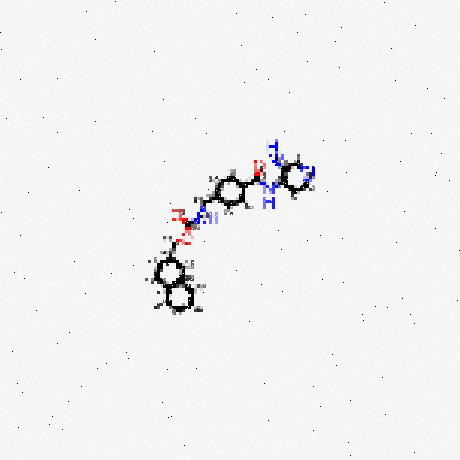 Nc1cnccc1NC(=O)c1ccc(CNC(=O)OCc2ccc3ccccc3c2)cc1